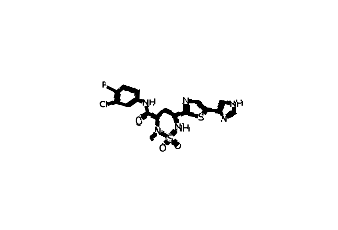 CN1C(C(=O)Nc2ccc(F)c(Cl)c2)CC(c2ncc(-c3c[nH]cn3)s2)NS1(=O)=O